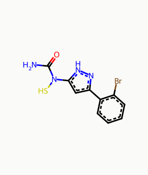 NC(=O)N(S)c1cc(-c2ccccc2Br)n[nH]1